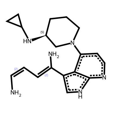 N/C=C\C=C(/N)c1c[nH]c2nccc(N3CCC[C@H](NC4CC4)C3)c12